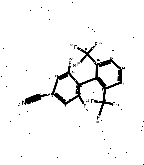 N#Cc1cc(F)c(-c2c(C(F)(F)F)cccc2C(F)(F)F)c(F)c1